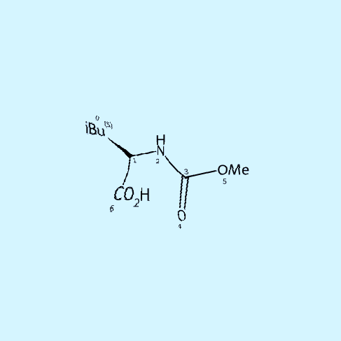 CC[C@H](C)C(NC(=O)OC)C(=O)O